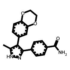 Cc1[nH]nc(-c2ccc(C(N)=O)cc2)c1-c1ccc2c(c1)OCCO2